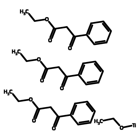 CCOC(=O)CC(=O)c1ccccc1.CCOC(=O)CC(=O)c1ccccc1.CCOC(=O)CC(=O)c1ccccc1.CC[O][Ti]